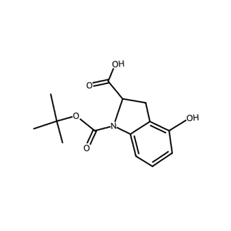 CC(C)(C)OC(=O)N1c2cccc(O)c2CC1C(=O)O